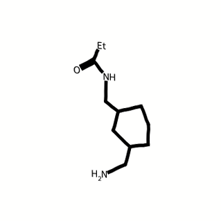 CCC(=O)NCC1CCCC(CN)C1